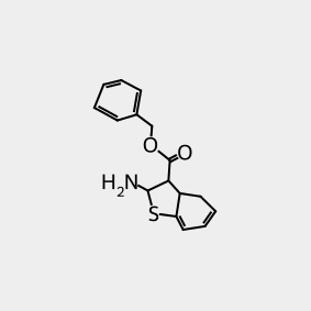 NC1SC2=CC=CCC2C1C(=O)OCc1ccccc1